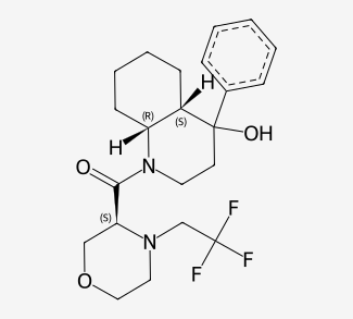 O=C([C@@H]1COCCN1CC(F)(F)F)N1CCC(O)(c2ccccc2)[C@H]2CCCC[C@H]21